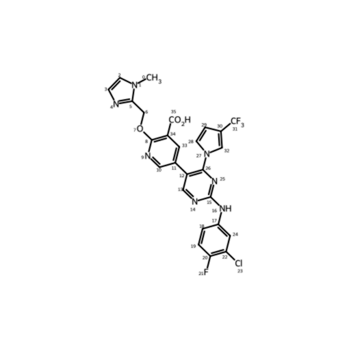 Cn1ccnc1COc1ncc(-c2cnc(Nc3ccc(F)c(Cl)c3)nc2-n2ccc(C(F)(F)F)c2)cc1C(=O)O